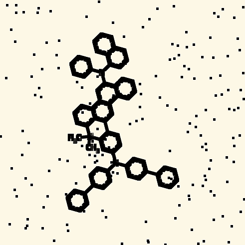 C[Si]1(C)c2cc(N(c3ccc(-c4ccccc4)cc3)c3ccc(-c4ccccc4)cc3)ccc2-c2cc3c4ccccc4c(N(c4ccccc4)c4cccc5ccccc45)cc3c3cccc1c23